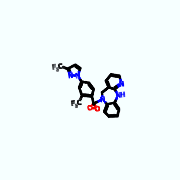 FC(F)(F)c1ccn(-c2ccc(C3(N4Cc5cccnc5Nc5ccccc54)OO3)c(C(F)(F)F)c2)n1